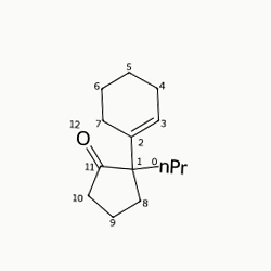 CCCC1(C2=CCCCC2)CCCC1=O